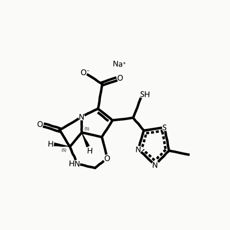 Cc1nnc(C(S)C2=C(C(=O)[O-])N3C(=O)[C@H]4NCOC2[C@H]43)s1.[Na+]